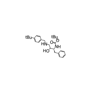 CC(C)(C)OC(=O)N[C@@H](Cc1ccccc1)[C@@H](O)CNCc1ccc(C(C)(C)C)cc1